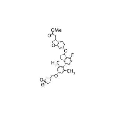 COC(=O)C[C@@H]1COc2cc(O[C@@H]3CCc4c(-c5c(C)cc(OC[C@H]6CCS(=O)(=O)C6)cc5C)ccc(F)c43)ccc21